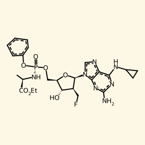 CCOC(=O)[C@@H](C)N[P@](=O)(OC[C@H]1O[C@@H](n2cnc3c(NC4CC4)nc(N)nc32)[C@@H](CF)[C@@H]1O)Oc1ccccc1